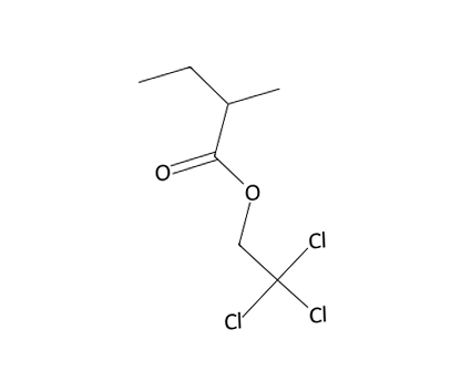 CCC(C)C(=O)OCC(Cl)(Cl)Cl